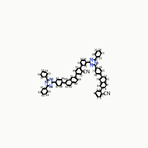 N#Cc1ccccc1-c1ccc2ccc(-c3ccc(-c4nc(-c5ccccc5)nc(-c5cccc(-c6ccc(-c7ccc8ccc(-c9ccc(-c%10nc(-c%11ccccc%11)nc(-c%11ccccc%11)n%10)cc9)cc8c7)cc6C#N)c5)n4)cc3)cc2c1